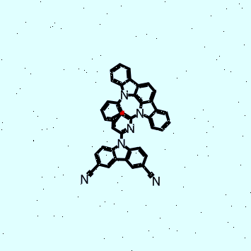 N#Cc1ccc2c(c1)c1cc(C#N)ccc1n2-c1cccc(-n2c3ccccc3c3ccc4c5ccccc5n(-c5ccccc5)c4c32)n1